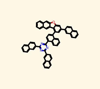 c1ccc2cc(-c3cc(-c4ccc(-c5nc(-c6ccc7ccccc7c6)nc(-c6ccc7ccccc7c6)n5)c5ccccc45)c4c(c3)oc3cc5ccccc5cc34)ccc2c1